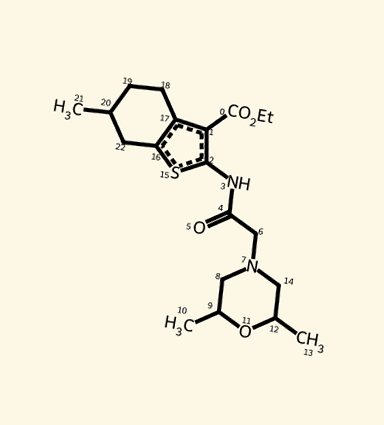 CCOC(=O)c1c(NC(=O)CN2CC(C)OC(C)C2)sc2c1CCC(C)C2